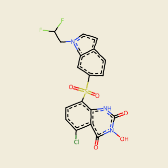 O=c1[nH]c2c(S(=O)(=O)c3ccc4ccn(CC(F)F)c4c3)ccc(Cl)c2c(=O)n1O